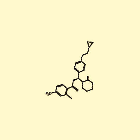 Cc1cc(C(F)(F)F)ccc1C(=O)C[C@@H](c1ccc(CCC2CC2)cc1)C1CCCCN1